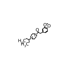 CCC(CC)N1CCN(C(=O)Cc2ccc3c(c2)OCO3)CC1